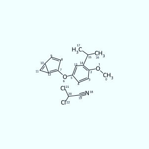 COc1ccc(Oc2ccc3cc2-3)cc1C(C)C.N#CC(Cl)Cl